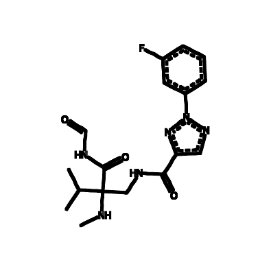 CNC(CNC(=O)c1cnn(-c2cccc(F)c2)n1)(C(=O)NC=O)C(C)C